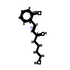 O=C(/C=C/c1ccccc1Cl)CCCCCl